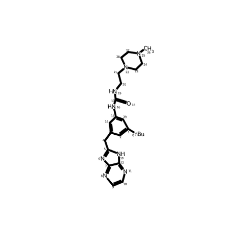 CCCCc1cc(Cc2nc3nccnc3[nH]2)cc(NC(=O)NCCN2CCN(C)CC2)c1